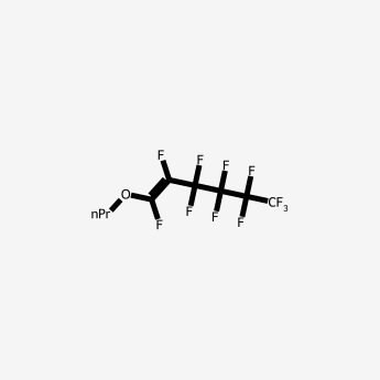 CCCOC(F)=C(F)C(F)(F)C(F)(F)C(F)(F)C(F)(F)F